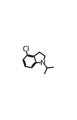 CC(C)N1CCc2c(Cl)cccc21